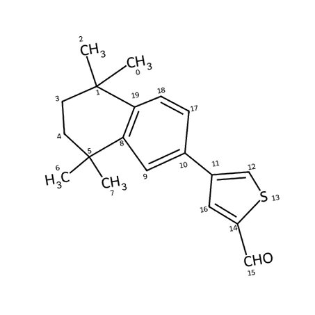 CC1(C)CCC(C)(C)c2cc(-c3csc(C=O)c3)ccc21